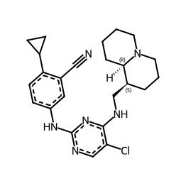 N#Cc1cc(Nc2ncc(Cl)c(NC[C@@H]3CCCN4CCCC[C@H]34)n2)ccc1C1CC1